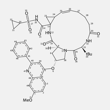 COc1ccc2c(O[C@@H]3C[C@H]4C(=O)NC5(C(=O)NS(=O)(=O)C6CC6)CC5C=CCCCC(=O)N[C@@H](C(C)(C)C)C(=O)N4C3)cc(-c3ccccc3)nc2c1